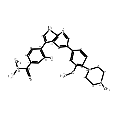 COc1cc(-c2cnc3[nH]cc(-c4ccc(C(=O)N(C)C)cc4Cl)c3c2)ccc1N1CCN(C)CC1